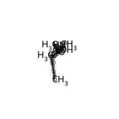 CCCCCCCCCCCCCCC(C)COCC(COP(=O)(O)CCNC)OC(=O)CCC